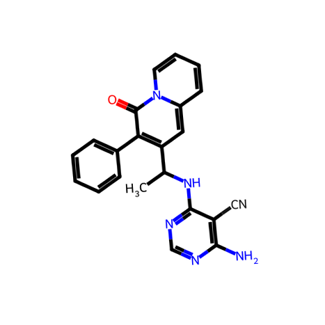 CC(Nc1ncnc(N)c1C#N)c1cc2ccccn2c(=O)c1-c1ccccc1